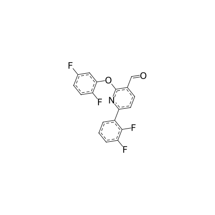 O=Cc1ccc(-c2cccc(F)c2F)nc1Oc1cc(F)ccc1F